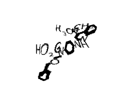 CN(C)c1cc(N[C@H]2CC[C@@H](N(CCOCc3ccccc3)C(=O)O)CC2)nc2ccccc12